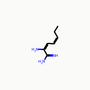 CC/C=C\C=C(\N)C(=N)N